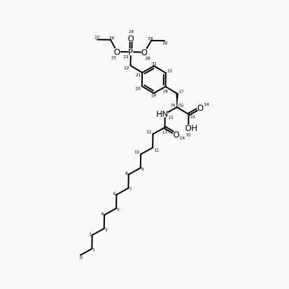 CCCCCCCCCCCCCC(=O)N[C@@H](Cc1ccc(CP(=O)(OCC)OCC)cc1)C(=O)O